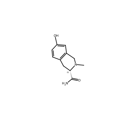 CN1Cc2cc(O)ccc2C[C@H]1C(N)=O